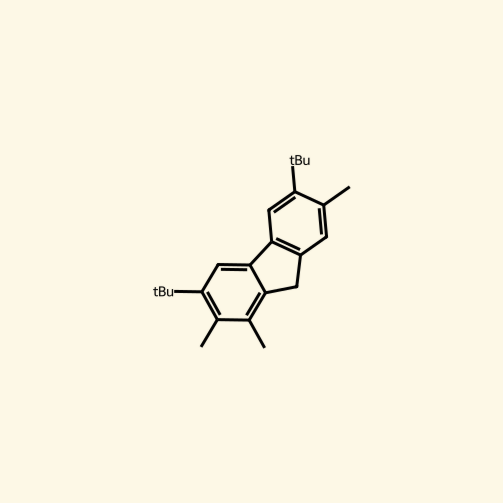 Cc1cc2c(cc1C(C)(C)C)-c1cc(C(C)(C)C)c(C)c(C)c1C2